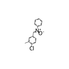 Cc1cc(C=[N+]([O-])c2ccccc2)ccc1Cl